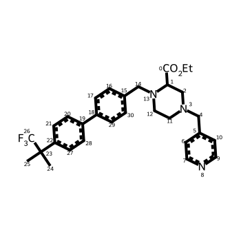 CCOC(=O)C1CN(Cc2ccncc2)CCN1Cc1ccc(-c2ccc(C(C)(C)C(F)(F)F)cc2)cc1